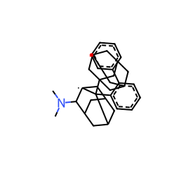 CN(C)C1[C]2CC3CC1CC(C3)C2(c1ccccc1-c1ccccc1)C12CC3CC(CC(C3)C1)C2